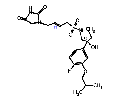 CC[C@@](O)(CNS(=O)(=O)C/C=C/CN1CC(=O)NC1=O)c1ccc(F)c(OCC(C)C)c1